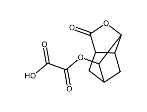 O=C(O)C(=O)OC1C2CC3C(=O)OC1C3C2